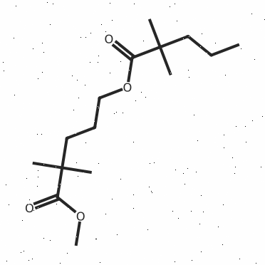 CCCC(C)(C)C(=O)OCCCC(C)(C)C(=O)OC